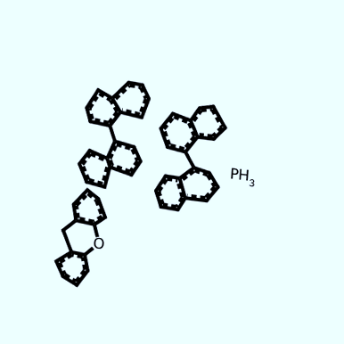 P.c1ccc2c(-c3cccc4ccccc34)cccc2c1.c1ccc2c(-c3cccc4ccccc34)cccc2c1.c1ccc2c(c1)Cc1ccccc1O2